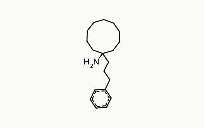 NC1(CCCc2ccccc2)CCCCCCCCC1